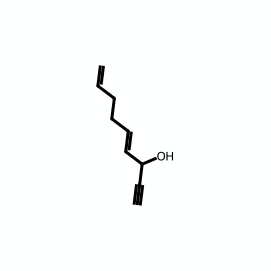 C#CC(O)C=CCCC=C